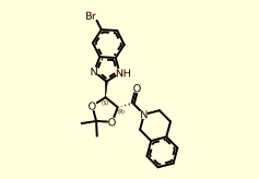 CC1(C)O[C@@H](C(=O)N2CCc3ccccc3C2)[C@H](c2nc3cc(Br)ccc3[nH]2)O1